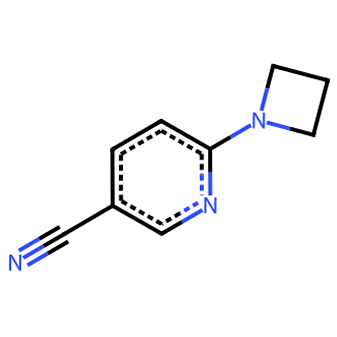 N#Cc1ccc(N2CCC2)nc1